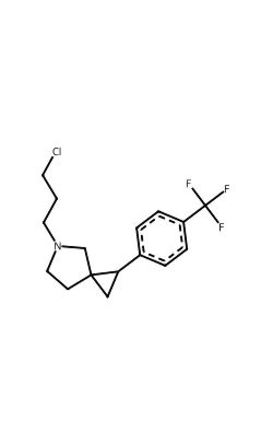 FC(F)(F)c1ccc(C2CC23CCN(CCCCl)C3)cc1